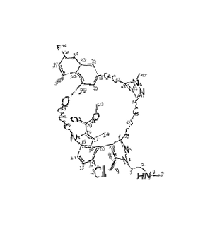 CNCCn1nc2c(c1C)-c1c(Cl)ccc3c1c(C)c(C(=O)OC)n3CCCOc1cc(cc3cc(F)ccc13)CCc1cc(nn1C)CSC2